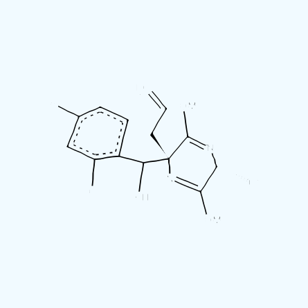 C=CC[C@]1(C(C)c2ccc(Br)cc2Cl)N=C(OC)[C@@H](C(C)C)N=C1OC